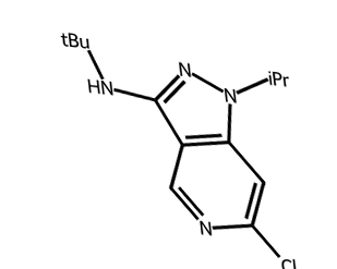 CC(C)n1nc(NC(C)(C)C)c2cnc(Cl)cc21